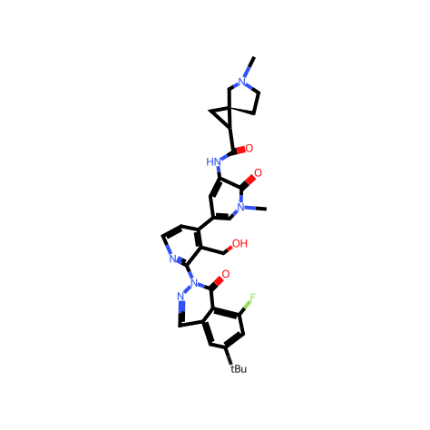 CN1CC[C@@]2(CC2C(=O)Nc2cc(-c3ccnc(-n4ncc5cc(C(C)(C)C)cc(F)c5c4=O)c3CO)cn(C)c2=O)C1